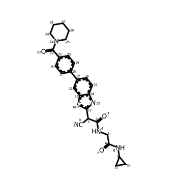 N#CC(C(=O)NCC(=O)NC1CC1)c1nc2ccc(-c3ccc(C(=O)N4CCCCC4)cc3)cc2s1